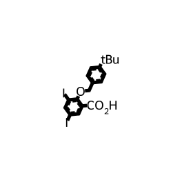 CC(C)(C)c1ccc(COc2c(I)cc(I)cc2C(=O)O)cc1